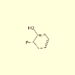 OC1=CC=CCC1F